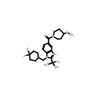 COC1CCN(C(=O)c2ccc3c(c2)nc(C(C)(C)C)n3CC2CCC(F)(F)CC2)CC1